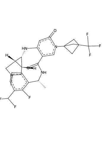 C[C@@H](NC(=O)c1cn(C23CC(C(F)(F)F)(C2)C3)c(=O)cc1N[C@@H]1[C@@H]2CN(C)C[C@@H]21)c1cccc(C(F)F)c1F